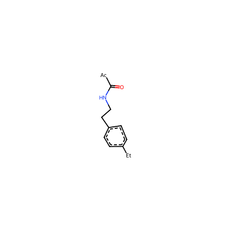 CCc1ccc(CCNC(=O)C(C)=O)cc1